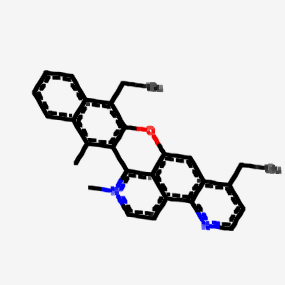 Cc1c2c(c(CC(C)(C)C)c3ccccc13)Oc1cc3c(CC(C)(C)C)ccnc3c3cc[n+](C)c-2c13